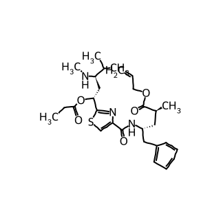 C=CCOC(=O)[C@@H](C)C[C@H](Cc1ccccc1)NC(=O)c1csc([C@@H](C[C@@H](NC)C(C)C)OC(=O)CC)n1